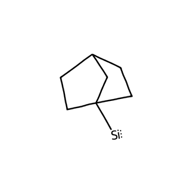 [Si]C12CCC(CC1)C2